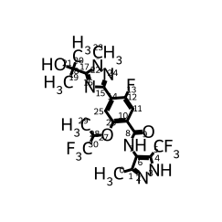 Cc1n[nH]c(C(F)(F)F)c1NC(=O)c1cc(F)c(-c2nc(C(C)(C)O)n(C)n2)cc1OC(C)C(F)(F)F